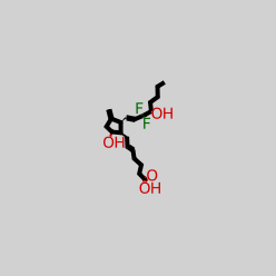 C=C1C[C@H](O)[C@H](CC=CCCCC(=O)O)[C@H]1C=CC(F)(F)C(O)CCCC